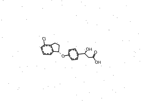 O=C(O)C[C@H](O)c1ccc(O[C@H]2CCc3c(Cl)cccc32)cc1